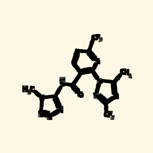 Cc1nc(C(F)(F)F)nn1-c1nc(C(F)(F)F)ccc1C(=O)Nc1nnnn1C